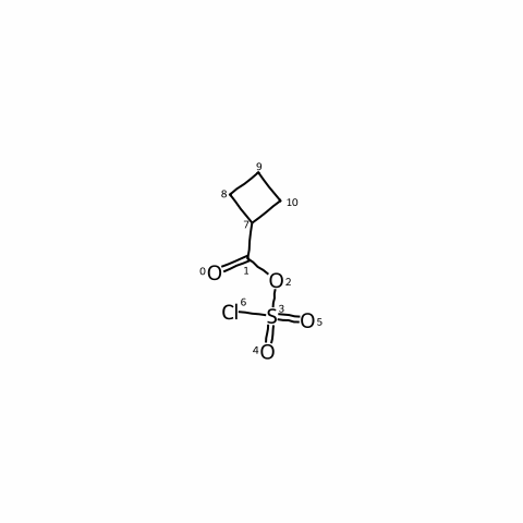 O=C(OS(=O)(=O)Cl)C1CCC1